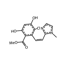 COC(=O)c1c(O)cc(O)c(Cl)c1/C=C\c1nccn1C